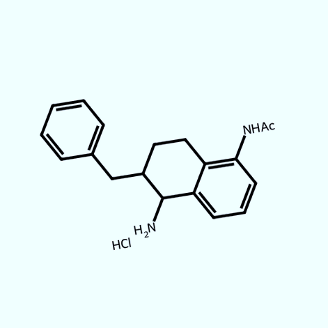 CC(=O)Nc1cccc2c1CCC(Cc1ccccc1)C2N.Cl